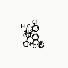 Cc1ccc(-n2nccn2)c(C(=O)N2CCCC2c2cc(-c3cccc(Cl)c3C)no2)c1